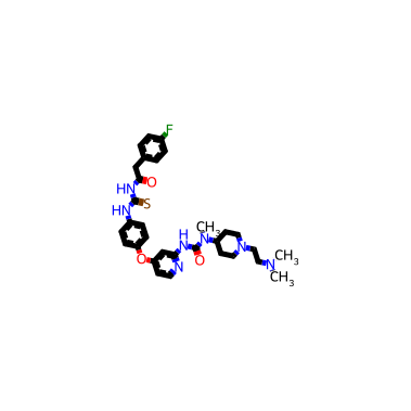 CN(C)CCN1CCC(N(C)C(=O)Nc2cc(Oc3ccc(NC(=S)NC(=O)Cc4ccc(F)cc4)cc3)ccn2)CC1